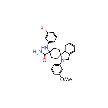 COc1cccc(N2Cc3ccccc3C23CCC(Nc2cccc(Br)c2)(C(N)=O)CC3)c1